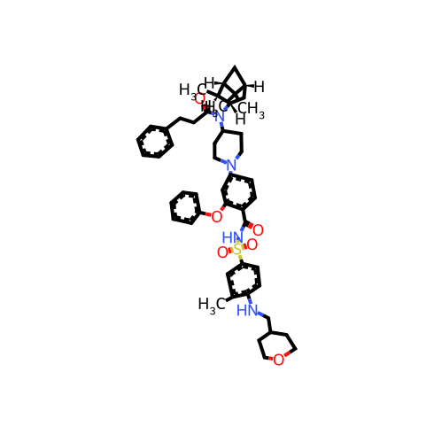 Cc1cc(S(=O)(=O)NC(=O)c2ccc(N3CCC(N(C(=O)CCc4ccccc4)[C@H]4C[C@H]5C[C@@H]([C@@H]4C)C5(C)C)CC3)cc2Oc2ccccc2)ccc1NCC1CCOCC1